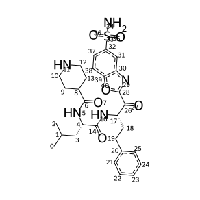 CC(C)C[C@H](NC(=O)C1CCNCC1)C(=O)N[C@@H](CCc1ccccc1)C(=O)c1nc2cc(S(N)(=O)=O)ccc2o1